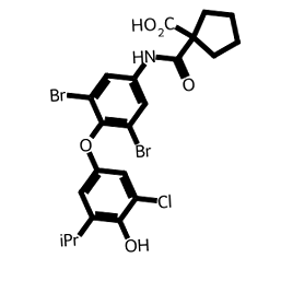 CC(C)c1cc(Oc2c(Br)cc(NC(=O)C3(C(=O)O)CCCC3)cc2Br)cc(Cl)c1O